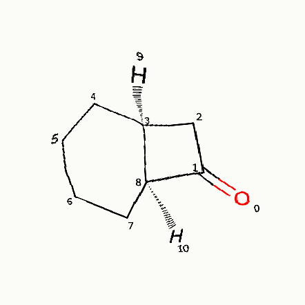 O=C1C[C@@H]2CCCC[C@H]12